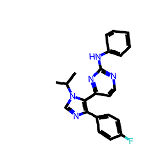 CC(C)n1cnc(-c2ccc(F)cc2)c1-c1ccnc(Nc2ccccc2)n1